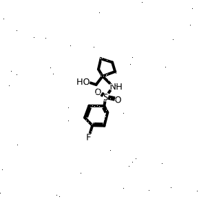 O=S(=O)(NC1(CO)CCCC1)c1ccc(F)cc1